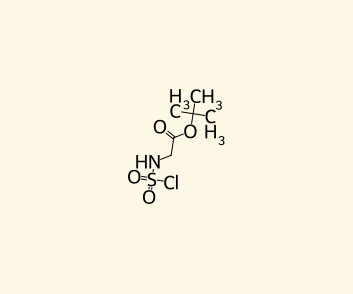 CC(C)(C)OC(=O)CNS(=O)(=O)Cl